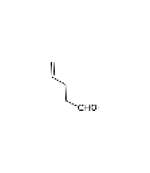 C=CCC[C]=O